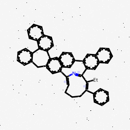 CCC1=C(\c2ccccc2)CCC/C=C(c2ccccc2)/N=C\1c1cc2ccccc2cc1-c1ccc(C2CCc3ccccc3-c3c2ccc2ccccc32)cc1